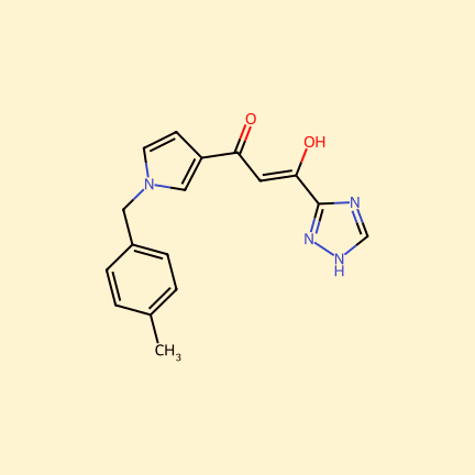 Cc1ccc(Cn2ccc(C(=O)C=C(O)c3nc[nH]n3)c2)cc1